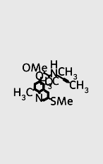 CC#CC(C)(C)NC(=O)C(OC)Oc1cc(C)c2ncc(SC)cc2c1